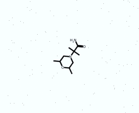 CC1CN(C(C)(C)C(N)=O)CC(C)O1